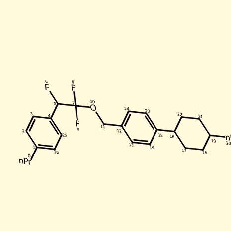 CCCc1ccc(C(F)C(F)(F)OCc2ccc(C3CCC(CCC)CC3)cc2)cc1